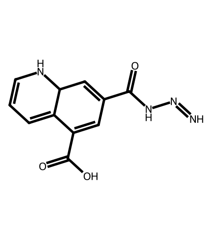 N=NNC(=O)C1=CC2NC=CC=C2C(C(=O)O)=C1